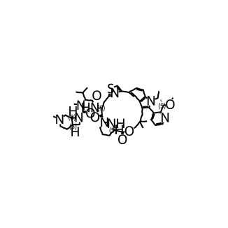 CCn1c(-c2cccnc2[C@H](C)OC)c2c3cc(ccc31)-c1csc(n1)C[C@H](NC(=O)C(C(C)C)N(C)C(=O)N1C[C@@H]3CCN(C)C[C@@H]31)C(=O)N1CCC[C@H](N1)C(=O)OCC(C)(C)C2